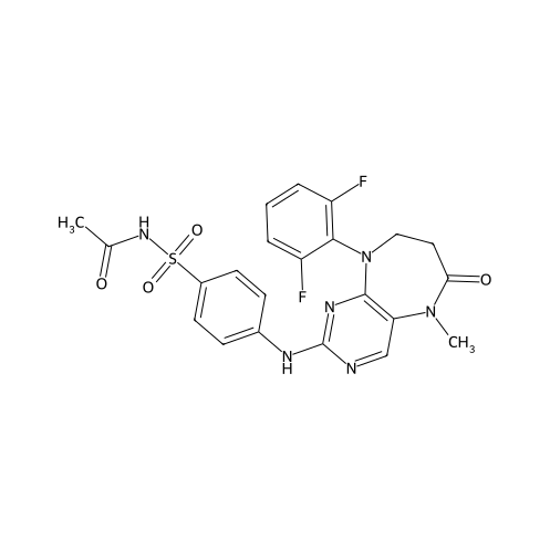 CC(=O)NS(=O)(=O)c1ccc(Nc2ncc3c(n2)N(c2c(F)cccc2F)CCC(=O)N3C)cc1